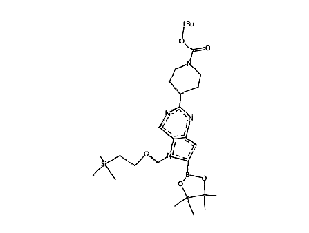 CC(C)(C)OC(=O)N1CCC(c2ncc3c(cc(B4OC(C)(C)C(C)(C)O4)n3COCC[Si](C)(C)C)n2)CC1